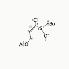 CCCC[S+]([O-])/C(Cl)=C\COC(C)=O